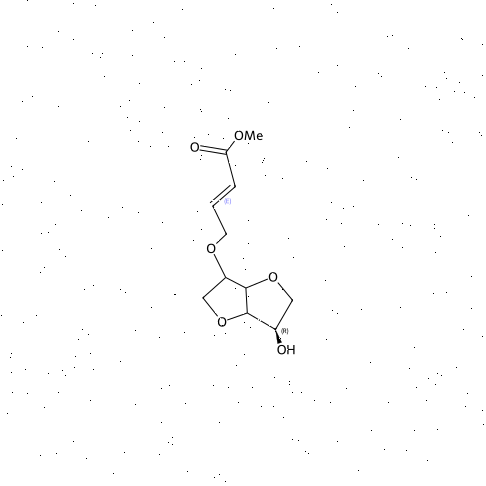 COC(=O)/C=C/COC1COC2C1OC[C@H]2O